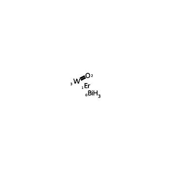 [BiH3].[Er].[O]=[W]